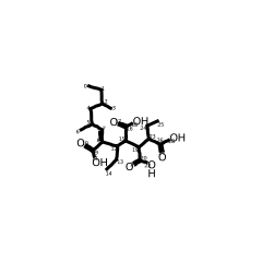 CCC(C)CC(C)C=C(C(=O)O)C(CC)C(C(=O)O)C(C(=O)O)C(CC)C(=O)O